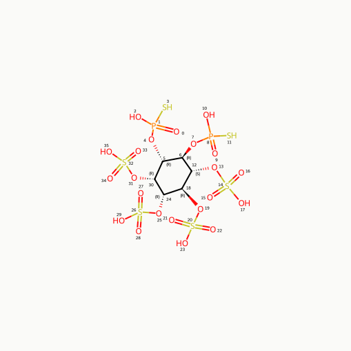 O=P(O)(S)O[C@@H]1[C@@H](OP(=O)(O)S)[C@H](OS(=O)(=O)O)[C@@H](OS(=O)(=O)O)[C@H](OS(=O)(=O)O)[C@@H]1OS(=O)(=O)O